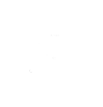 CCCCCCCCCCCC(=O)C([C]=O)C(C=O)c1ccccc1